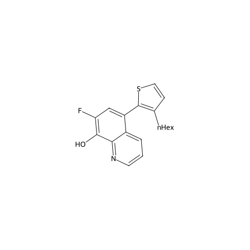 CCCCCCc1ccsc1-c1cc(F)c(O)c2ncccc12